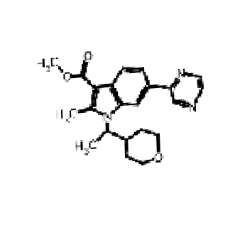 COC(=O)c1c(C)n(C(C)C2CCOCC2)c2cc(-c3cnccn3)ccc12